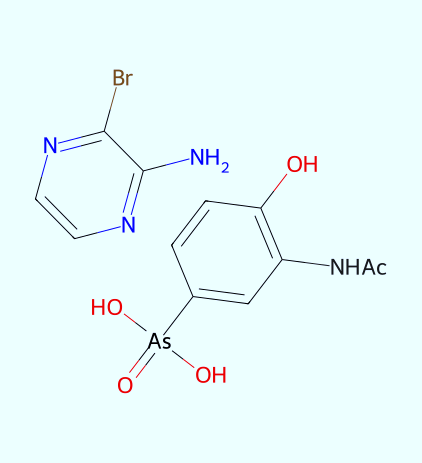 CC(=O)Nc1cc([As](=O)(O)O)ccc1O.Nc1nccnc1Br